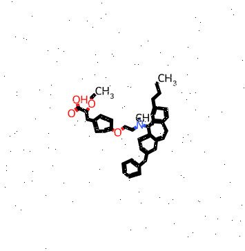 CCCCc1ccc2c(c1)C(N(C)CCOc1ccc(CC(OCC)C(=O)O)cc1)C1=CC=C(Cc3ccccc3)CC1=CC2